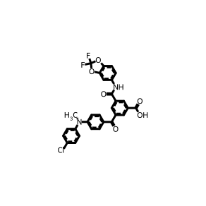 CN(c1ccc(Cl)cc1)c1ccc(C(=O)c2cc(C(=O)O)cc(C(=O)Nc3ccc4c(c3)OC(F)(F)O4)c2)cc1